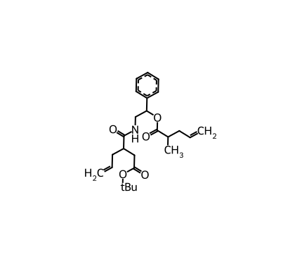 C=CCC(C)C(=O)OC(CNC(=O)C(CC=C)CC(=O)OC(C)(C)C)c1ccccc1